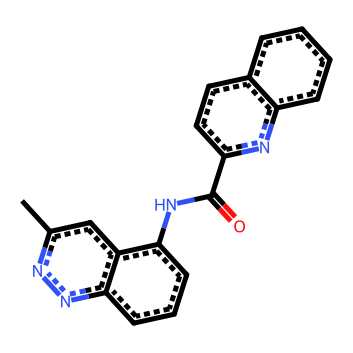 Cc1cc2c(NC(=O)c3ccc4ccccc4n3)cccc2nn1